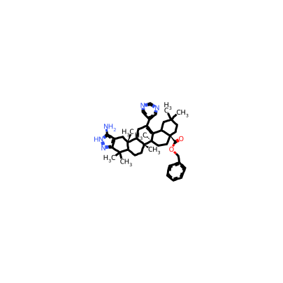 CC1(C)CC[C@]2(C(=O)OCc3ccccc3)CC[C@]3(C)C(=C(c4cncnc4)CC4[C@@]5(C)Cc6c(n[nH]c6N)C(C)(C)C5CC[C@]43C)C2C1